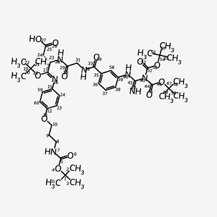 CC(C)(C)OC(=O)NCCCOc1ccc(N=C(OC(C)(C)C)[C@H](CC(=O)O)NC(=O)CNC(=O)c2cccc(NC(=N)N(C(=O)OC(C)(C)C)C(=O)OC(C)(C)C)c2)cc1